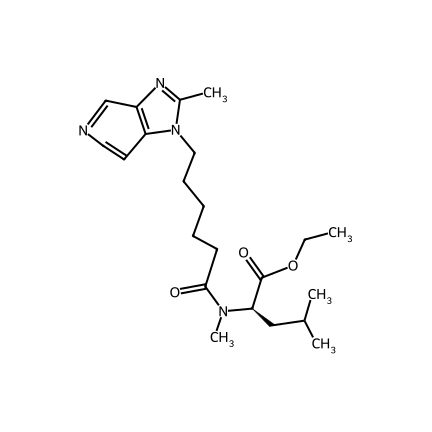 CCOC(=O)[C@@H](CC(C)C)N(C)C(=O)CCCCCn1c(C)nc2cnccc21